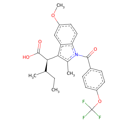 CCC(C)[C@@H](C(=O)O)c1c(C)n(C(=O)c2ccc(OC(F)(F)F)cc2)c2ccc(OC)cc12